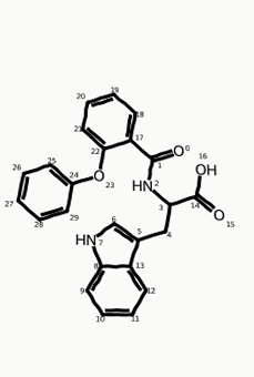 O=C(NC(Cc1c[nH]c2ccccc12)C(=O)O)c1ccccc1Oc1ccccc1